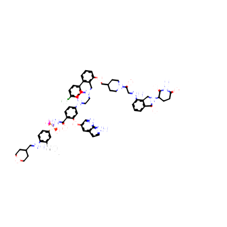 O=C1CCC(N2Cc3c(NCC(=O)N4CCC(COc5cccc(-c6ccc(Cl)cc6)c5CN5CCN(c6ccc(C(=O)NS(=O)(=O)c7ccc(NCC8CCOCC8)c([N+](=O)[O-])c7)c(Oc7cnc8[nH]ccc8c7)c6)CC5)CC4)cccc3C2=O)C(=O)N1